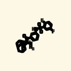 NC(=O)C12CC3CC(C1)C(NC(=O)c1cccc(NS(=O)(=O)c4cc(F)ccc4F)c1)C(C3)C2